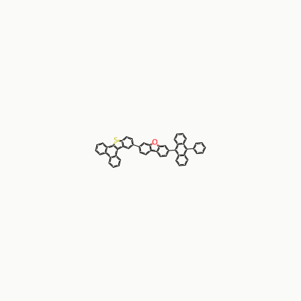 c1ccc(-c2c3ccccc3c(-c3ccc4c(c3)oc3cc(-c5ccc6sc7c8ccccc8c8ccccc8c7c6c5)ccc34)c3ccccc23)cc1